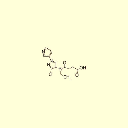 CCN(C(=O)CCC(=O)O)c1cn(-c2cccnc2)nc1Cl